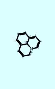 C1=CC2=CC=CN3CC=CC(=C1)C23